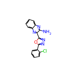 Nc1nc2ccccc2nc1-c1nnc(-c2ccccc2Cl)o1